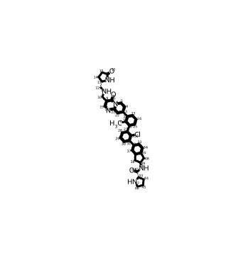 Cc1c(-c2ccn3c(=O)c(CNC[C@@H]4CCC(=O)N4)cnc3c2)cccc1-c1cccc(-c2ccc3c(c2)CC(NC(=O)[C@@H]2CCCN2)C3)c1Cl